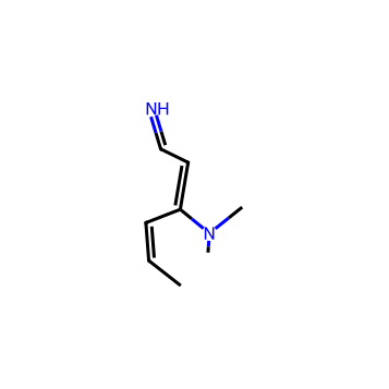 C/C=C\C(=C/C=N)N(C)C